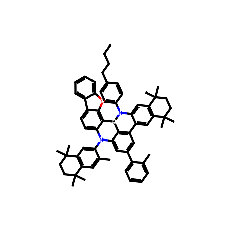 CCCCc1ccc(N2B3c4c(cc(-c5ccccc5C)cc4N(c4cc5c(cc4C)C(C)(C)CCC5(C)C)c4ccc5c(oc6ccccc65)c43)-c3cc4c(cc32)C(C)(C)CCC4(C)C)cc1